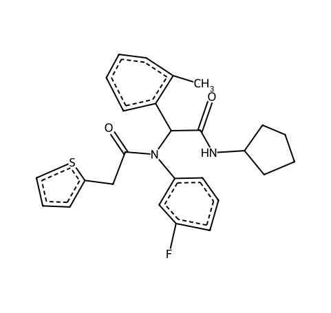 Cc1ccccc1C(C(=O)NC1CCCC1)N(C(=O)Cc1cccs1)c1cccc(F)c1